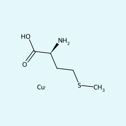 CSCC[C@H](N)C(=O)O.[Cu]